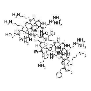 CC[C@H](C)[C@H](NC(=O)[C@H](CCCCN)NC(=O)[C@H](C)NC(=O)[C@H](CCCN=C(N)N)NC(=O)[C@H](CC(C)C)NC(=O)[C@H](CCCN=C(N)N)NC(=O)[C@@H](NC(=O)[C@H](CCCCN)NC(=O)[C@@H](NC(=O)[C@H](CCCCN)NC(=O)[C@H](C)NC(=O)[C@H](CCCN=C(N)N)NC(=O)[C@H](CC(C)C)NC(=O)[C@H](CCCCN)NC(=O)[C@@H](N)Cc1ccccc1)[C@@H](C)CC)C(C)C)C(=O)N[C@@H](CCCCN)C(=O)N[C@@H](CC(C)C)C(=O)O